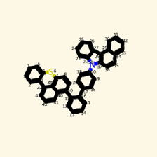 c1ccc2c(c1)Sc1ccc(-c3ccccc3-c3ccc(-n4c5ccccc5c5c6ccccc6ccc54)cc3)c3cccc-2c13